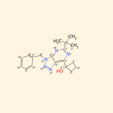 CC(C)(C)c1nc(C2(O)CCC2)c2nnn(Cc3ccccc3)c2n1